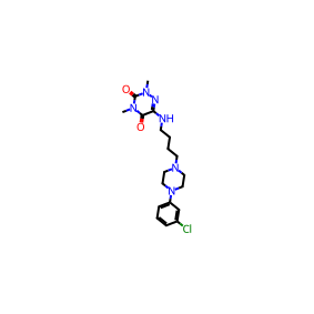 Cn1nc(NCCCCN2CCN(c3cccc(Cl)c3)CC2)c(=O)n(C)c1=O